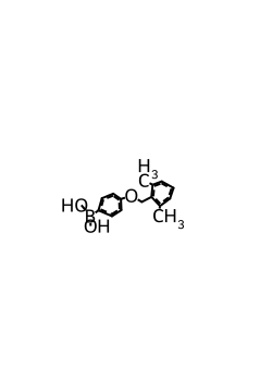 Cc1cccc(C)c1COc1ccc(B(O)O)cc1